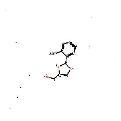 COc1ccccc1C1SCC(CO)S1